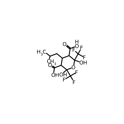 CC(C)CC1C(C(=O)O)C(O)(C(F)(F)F)OC(O)(C(F)(F)F)C1C(=O)O